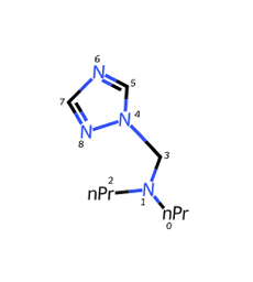 CCCN(CCC)Cn1cncn1